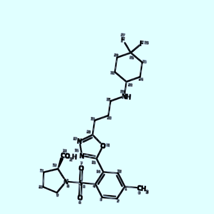 Cc1ccc(S(=O)(=O)N2CCC[C@H]2C(=O)O)c(-c2nnc(CCCNC3CCC(F)(F)CC3)o2)c1